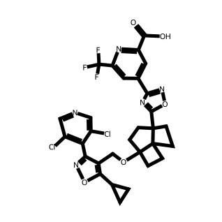 O=C(O)c1cc(-c2noc(C34CCC5(OCc6c(-c7c(Cl)cncc7Cl)noc6C6CC6)CCC53CC4)n2)cc(C(F)(F)F)n1